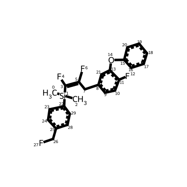 C[Si](C)(C(F)=C(F)Cc1ccc(F)c(Oc2ccccc2)c1)c1ccc(CF)cc1